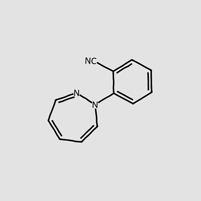 N#Cc1ccccc1N1C=CC=CC=N1